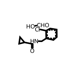 O=C(NCc1ccccc1Cl)C1CC1.O=CO